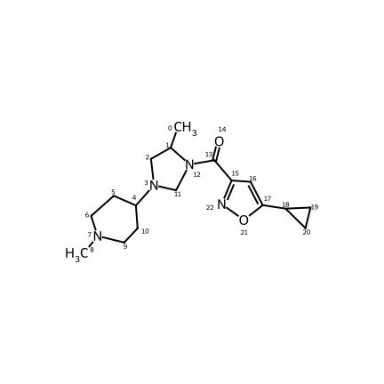 CC1CN(C2CCN(C)CC2)CN1C(=O)c1cc(C2CC2)on1